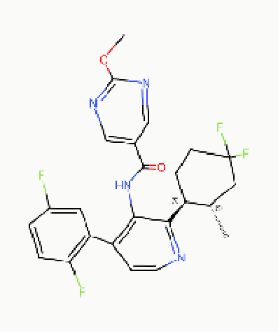 COc1ncc(C(=O)Nc2c(-c3cc(F)ccc3F)ccnc2[C@H]2CCC(F)(F)C[C@@H]2C)cn1